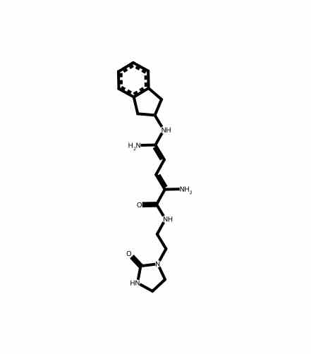 N/C(=C\C=C(/N)NC1Cc2ccccc2C1)C(=O)NCCN1CCNC1=O